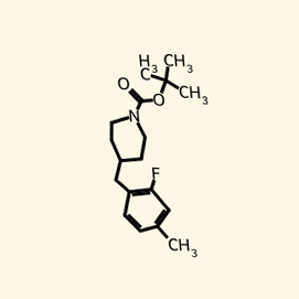 Cc1ccc(CC2CCN(C(=O)OC(C)(C)C)CC2)c(F)c1